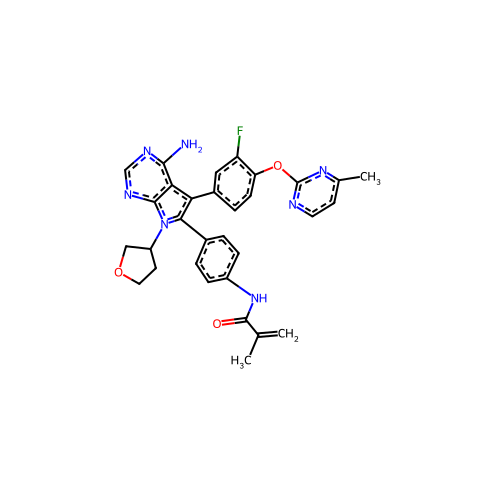 C=C(C)C(=O)Nc1ccc(-c2c(-c3ccc(Oc4nccc(C)n4)c(F)c3)c3c(N)ncnc3n2C2CCOC2)cc1